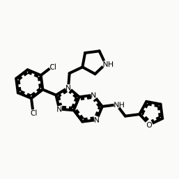 Clc1cccc(Cl)c1-c1nc2cnc(NCc3ccco3)nc2n1CC1CCNC1